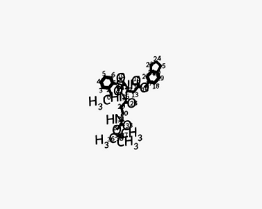 CCc1ccccc1S(=O)(=O)NC(CC(=O)Oc1ccc2c(c1)CCC2)NC(=O)CCNC(=O)OC(C)(C)C